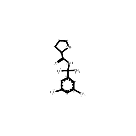 CC(C)(NC(=O)C1CCCN1)c1cc(C(F)(F)F)cc(C(F)(F)F)c1